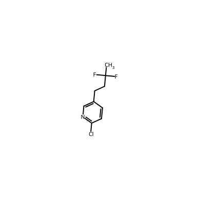 CC(F)(F)CCc1ccc(Cl)nc1